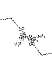 CCCCCCCC/C=C\CCCCCCCCOC(=O)CCN(CCCCN(CCC(=O)OCCCCCCCC/C=C\CCCCCCCC)C(=O)[C@@H](N)CCCCN)C(=O)[C@@H](N)CCCCN